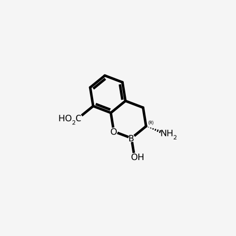 N[C@H]1Cc2cccc(C(=O)O)c2OB1O